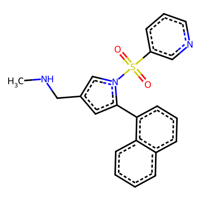 CNCc1cc(-c2cccc3ccccc23)n(S(=O)(=O)c2cccnc2)c1